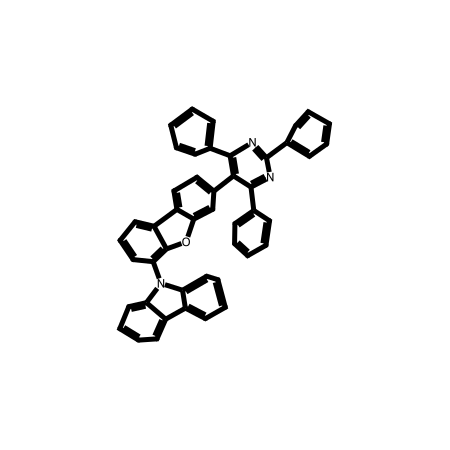 c1ccc(-c2nc(-c3ccccc3)c(-c3ccc4c(c3)oc3c(-n5c6ccccc6c6ccccc65)cccc34)c(-c3ccccc3)n2)cc1